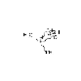 CCCC[PH](CCCC)(CCCC)CCCS(=O)(=O)O